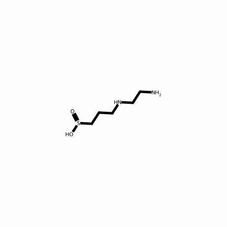 NCCNCCCS(=O)O